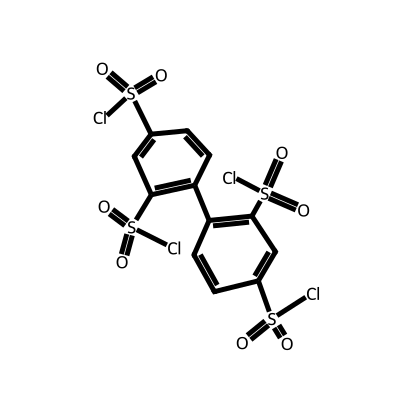 O=S(=O)(Cl)c1ccc(-c2ccc(S(=O)(=O)Cl)cc2S(=O)(=O)Cl)c(S(=O)(=O)Cl)c1